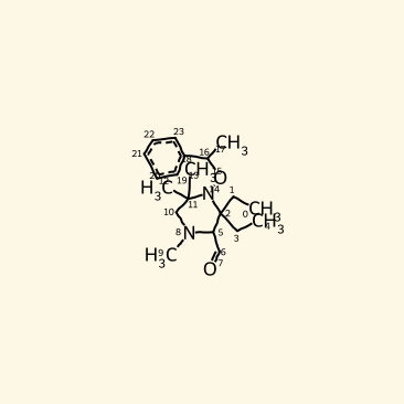 CCC1(CC)C(C=O)N(C)CC(C)(C)N1OC(C)c1ccccc1